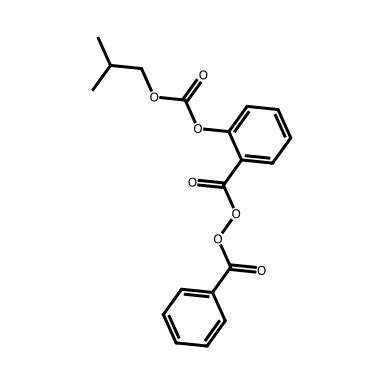 CC(C)COC(=O)Oc1ccccc1C(=O)OOC(=O)c1ccccc1